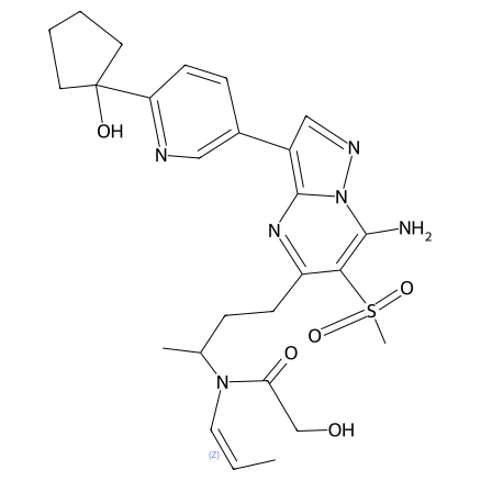 C/C=C\N(C(=O)CO)C(C)CCc1nc2c(-c3ccc(C4(O)CCCC4)nc3)cnn2c(N)c1S(C)(=O)=O